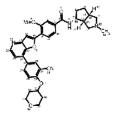 COc1cc(C(=O)N[C@@H]2CC[C@@H]3CN(C)C[C@@H]32)ccc1-c1cc2nccc(-c3ccc(OC4CCOCC4)c(C#N)c3)c2o1